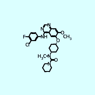 COc1cc2ncnc(Nc3ccc(F)c(Cl)c3)c2cc1O[C@H]1CC[C@H](N(C)C(=O)N2CCCCC2)CC1